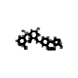 COc1cc(/C=C2\O[C@@H](C)CN([C@@H](C)c3ccnc(Cl)c3)C2=O)ccc1-n1cnc(C)c1